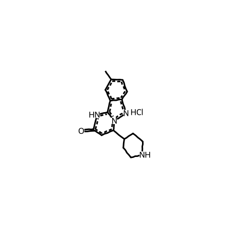 Cc1ccc2nn3c(C4CCNCC4)cc(=O)[nH]c3c2c1.Cl